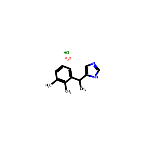 Cc1cccc(C(C)c2cnc[nH]2)c1C.Cl.O